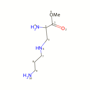 COC(=O)C(N)CNCCCN